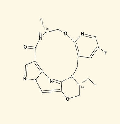 CC[C@@H]1COc2cn3ncc4c3nc2N1Cc1cc(F)cnc1OC[C@@H](C)NC4=O